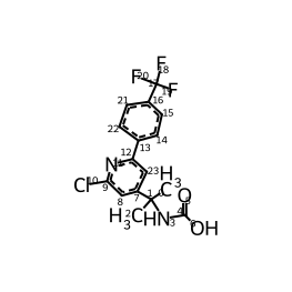 CC(C)(NC(=O)O)c1cc(Cl)nc(-c2ccc(C(F)(F)F)cc2)c1